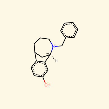 Oc1ccc2c(c1)[C@H]1CC2CCCN1Cc1ccccc1